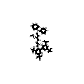 C=C(C)c1cc(C(C)(C)C)cc2c1op(OCC(CCP(c1ccccc1)c1ccccc1)OCC)oc1c(C(C)(C)C)cc(C(C)(C)C)cc12